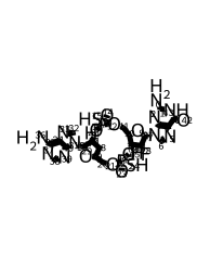 Nc1nc2c(ncn2[C@@H]2OC3CO[P@@](=O)(S)O[C@@H]4CC(CO[P@@](=O)(S)O[C@H]3[C@H]2F)O[C@H]4n2cnc3c(N)ncnc32)c(=O)[nH]1